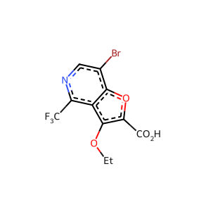 CCOc1c(C(=O)O)oc2c(Br)cnc(C(F)(F)F)c12